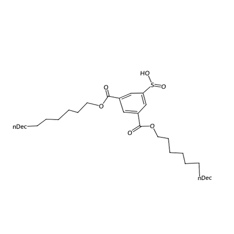 CCCCCCCCCCCCCCCCOC(=O)c1cc(C(=O)OCCCCCCCCCCCCCCCC)cc(S(=O)O)c1